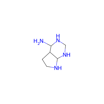 NC1NCNC2NCCC12